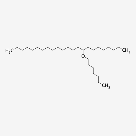 CCCCCCCCCCCCCCC(CCCCCCCC)OCCCCCCC